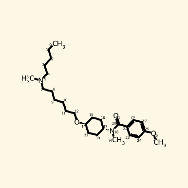 CCCCCN(C)CCCCCCO[C@H]1CC[C@H](N(C)C(=O)c2ccc(OC)cc2)CC1